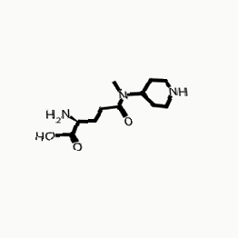 CN(C(=O)CC[C@H](N)C(=O)O)C1CCNCC1